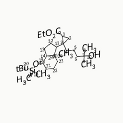 CCOC(=O)C1CC1(CCCC(C)(C)O)C1CCC2[C@@H](O[Si](C)(C)C(C)(C)C)CCC[C@@]21C